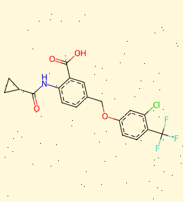 O=C(O)c1cc(COc2ccc(C(F)(F)F)c(Cl)c2)ccc1NC(=O)C1CC1